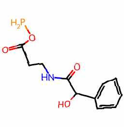 O=C(CCNC(=O)C(O)c1ccccc1)OP